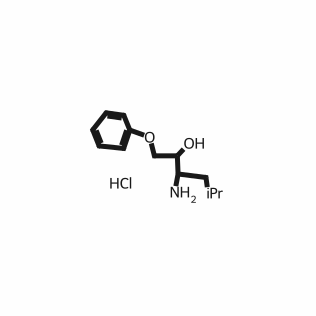 CC(C)CC(N)C(O)COc1ccccc1.Cl